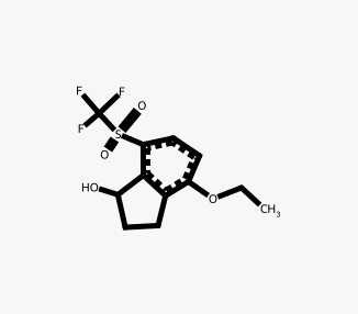 CCOc1ccc(S(=O)(=O)C(F)(F)F)c2c1CCC2O